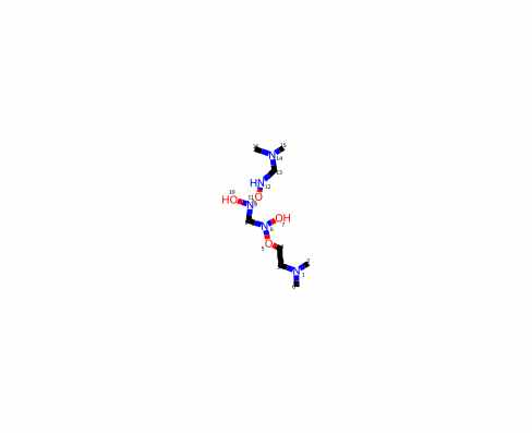 CN(C)CCON(O)CN(O)ONCN(C)C